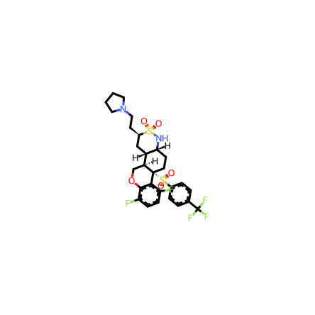 O=S1(=O)N[C@@H]2CC[C@@]3(S(=O)(=O)c4ccc(C(F)(F)F)cc4)c4c(F)ccc(F)c4OC[C@H]3[C@@H]2C[C@H]1CCN1CCCC1